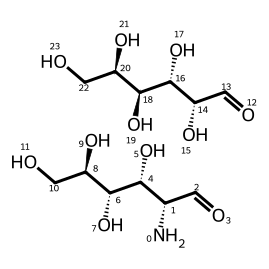 N[C@@H](C=O)[C@@H](O)[C@H](O)[C@H](O)CO.O=C[C@H](O)[C@@H](O)[C@@H](O)[C@H](O)CO